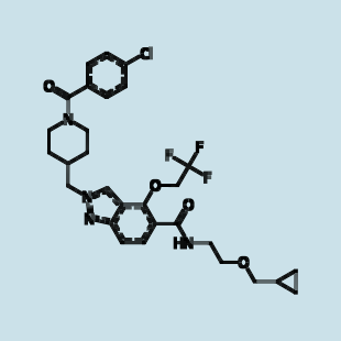 O=C(NCCOCC1CC1)c1ccc2nn(CC3CCN(C(=O)c4ccc(Cl)cc4)CC3)cc2c1OCC(F)(F)F